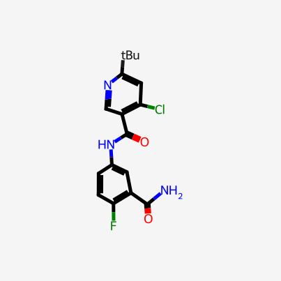 CC(C)(C)c1cc(Cl)c(C(=O)Nc2ccc(F)c(C(N)=O)c2)cn1